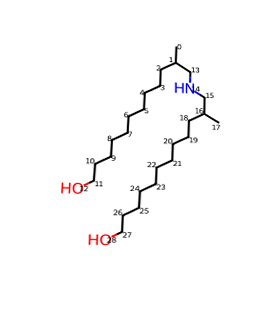 CC(CCCCCCCCCCO)CNCC(C)CCCCCCCCCCO